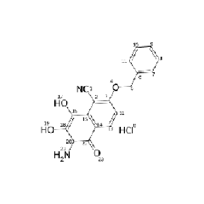 Cl.N#Cc1c(OCc2ccccc2)ccc2c1C(O)=C(O)C(N)C2=O